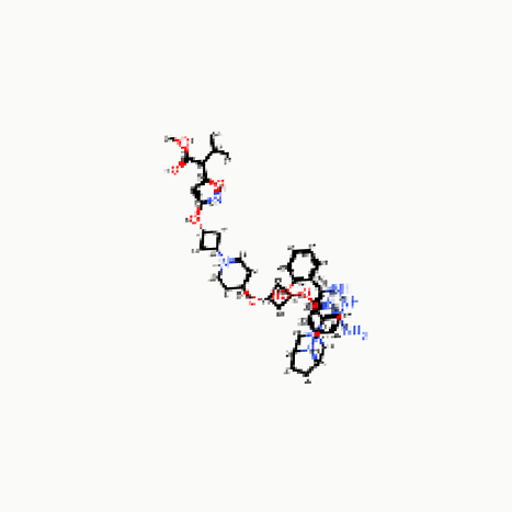 COC(=O)C(c1cc(O[C@H]2C[C@H](N3CCC(O[C@H]4C[C@H](Oc5cc(N6C7CCC6CN(C6=C(N)NNC(c8ccccc8O)=C6)C7)ccn5)C4)CC3)C2)no1)C(C)C